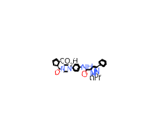 CCCn1nc(-c2ccccc2)cc1C(=O)Nc1ccc(N2CCN(C(=O)[C@H]3CCC[C@@H]3C(=O)O)CC2)cc1